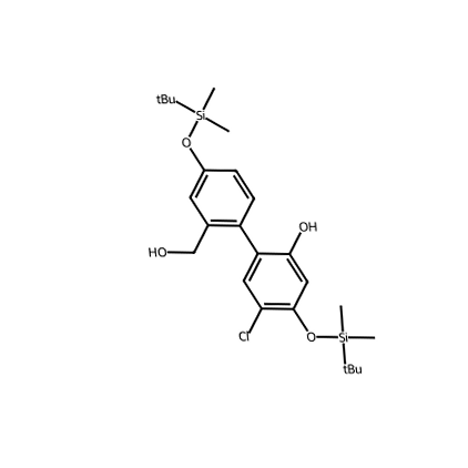 CC(C)(C)[Si](C)(C)Oc1ccc(-c2cc(Cl)c(O[Si](C)(C)C(C)(C)C)cc2O)c(CO)c1